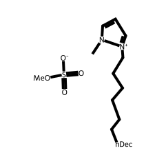 CCCCCCCCCCCCCCCC[n+]1cccn1C.COS(=O)(=O)[O-]